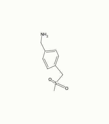 CS(=O)(=O)Cc1ccc(CN)cc1